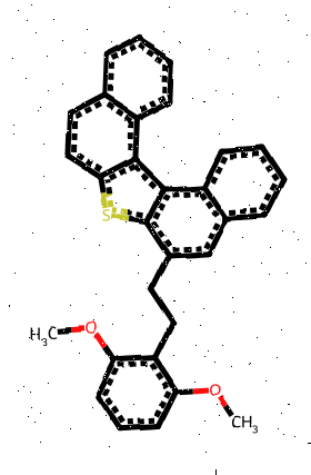 COc1cccc(OC)c1CCc1cc2ccccc2c2c1sc1ccc3ccccc3c12